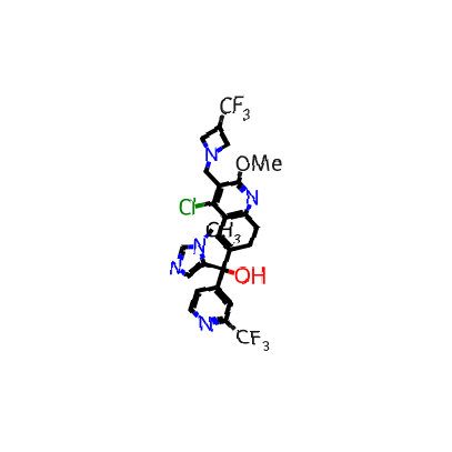 COc1nc2c(c(Cl)c1CN1CC(C(F)(F)F)C1)C=C(C(O)(c1ccnc(C(F)(F)F)c1)c1cncn1C)CC2